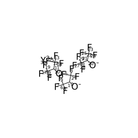 [O-]C(C(F)(F)F)C(F)(F)F.[O-]C(C(F)(F)F)C(F)(F)F.[O-]C(C(F)(F)F)C(F)(F)F.[Y+3]